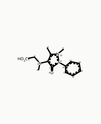 Cc1c(N(C)CC(=O)O)c(=O)n(-c2ccccc2)n1C